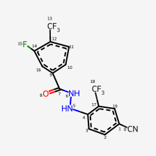 N#Cc1ccc(NNC(=O)c2ccc(C(F)(F)F)c(F)c2)c(C(F)(F)F)c1